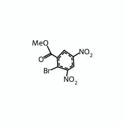 COC(=O)c1cc([N+](=O)[O-])cc([N+](=O)[O-])c1Br